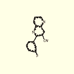 N#Cc1cc2ncccc2nc1-c1cccc(F)c1